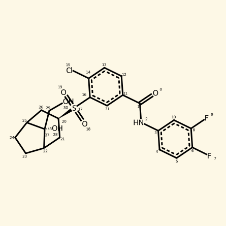 O=C(Nc1ccc(F)c(F)c1)c1ccc(Cl)c(S(=O)(=O)[C@H]2CC3CCC(C2)[C@@]3(O)CO)c1